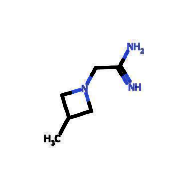 CC1CN(CC(=N)N)C1